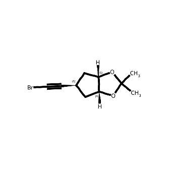 CC1(C)O[C@H]2C[C@H](C#CBr)C[C@H]2O1